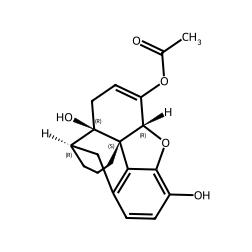 CC(=O)OC1=CC[C@@]2(O)[C@@H]3CCC[C@@]24c2c(ccc(O)c2O[C@@H]14)C3